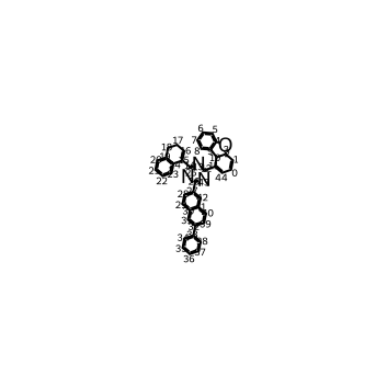 C1=CC2Oc3ccccc3C2C(c2nc(C3=CCCc4ccccc43)nc(-c3ccc4cc(-c5ccccc5)ccc4c3)n2)=C1